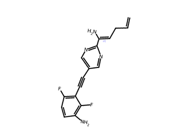 C=CC/C=C(\N)c1ncc(C#Cc2c(F)ccc(N)c2F)cn1